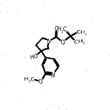 COc1cc(C2(O)CCN(C(=O)OC(C)(C)C)C2)ccn1